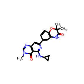 Cn1cnc2cc(-c3ccc4c(c3)NC(=O)C(C)(C)O4)nc(NC3CC3)c2c1=O